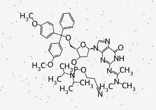 COc1ccc(C(OC[C@H]2O[C@@H](n3cnc4c(=O)[nH]c(/N=C(\C)N(C)C)nc43)CC2OP(OCCC#N)N(C(C)C)C(C)C)(c2ccccc2)c2ccc(OC)cc2)cc1